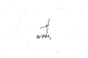 CC(C)(N)Br.CCCCP(CCCC)CCCC